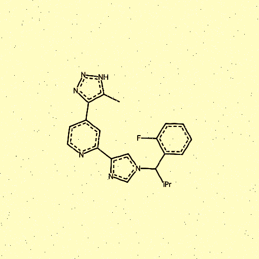 Cc1[nH]nnc1-c1ccnc(-c2cn(C(c3ccccc3F)C(C)C)cn2)c1